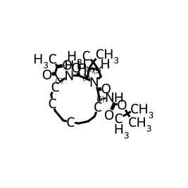 CC(=O)C(=O)[C@@H]1CCCCCCCCCC[C@H](NC(=O)OC(C)(C)C)C(=O)N2C[C@H]3[C@@H]([C@H]2C(=O)N1)C3(C)C